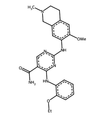 CCOc1ccccc1Nc1nc(Nc2cc3c(cc2OC)CCN(C)C3)ncc1C(N)=O